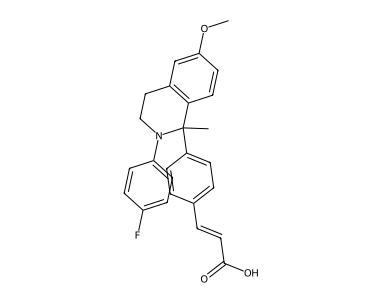 COc1ccc2c(c1)CCN(c1ccc(F)cc1)C2(C)c1ccc(C=CC(=O)O)cc1